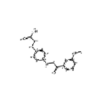 COc1cccc(C(=O)COc2ccc(CCC(=O)O)cc2)c1